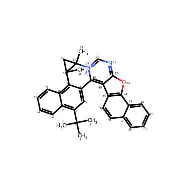 CC(C)(C)c1cc2c(c3ccccc13)C1(C)CC1(C)[n+]1cnc3oc4c5ccccc5ccc4c3c1-2